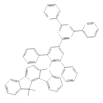 CC1(C)c2ccccc2-c2ccc3c(c21)c1ccccc1n3-c1c(-c2ccccc2)cc(-c2nc(-c3ccccn3)nc(-c3ccccn3)n2)cc1-c1ccccc1